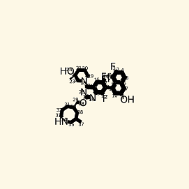 CCc1c(F)ccc2cc(O)cc(-c3c(Cl)cc4c(N5CCC[C@@](C)(O)C5)nc(OC[C@@H]5CCCNCC(C)C5)nc4c3F)c12